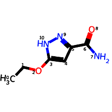 CCOc1cc(C(N)=O)n[nH]1